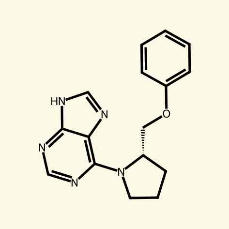 c1ccc(OC[C@@H]2CCCN2c2ncnc3[nH]cnc23)cc1